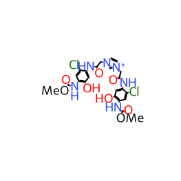 COC(=O)Nc1cc(Cl)c(NC(=O)Cn2cc[n+](CC(=O)Nc3cc(O)c(NC(=O)OC)cc3Cl)c2)cc1O